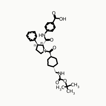 CC(C)(C)OC(=O)NC[C@H]1CC[C@H](C(=O)N2CC[C@@H](c3ccccc3)[C@@H]2C(=O)Nc2ccc(C(=O)O)cc2)CC1